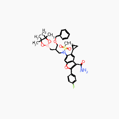 CC1(C)OB(CC(COCc2ccccc2)CN(c2cc3oc(-c4ccc(F)cc4)c(C(N)=O)c3cc2C2CC2)S(C)(=O)=O)OC1(C)C